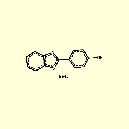 Oc1ccc(-c2nc3ccccc3s2)cc1.[BeH2]